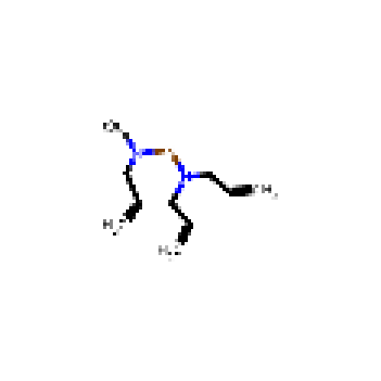 C=CCN(CC=C)SN(CC=C)C(C)(C)C